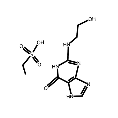 CCS(=O)(=O)O.O=c1[nH]c(NCCO)nc2nc[nH]c12